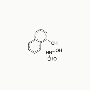 O=CNO.Oc1cccc2ccccc12